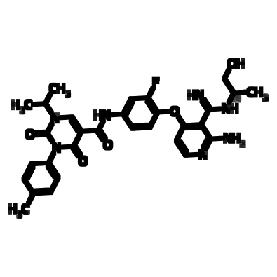 Cc1ccc(-n2c(=O)c(C(=O)Nc3ccc(Oc4ccnc(N)c4C(=N)N[C@H](C)CO)c(F)c3)cn(C(C)C)c2=O)cc1